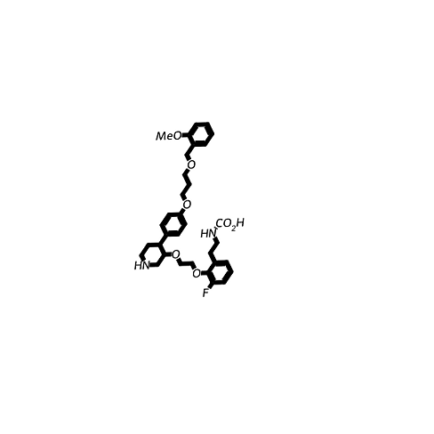 COc1ccccc1COCCCOc1ccc(C2CCNCC2OCCOc2c(F)cccc2CCNC(=O)O)cc1